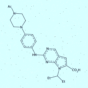 CCC(CC)n1c(C(=O)O)cc2cnc(Nc3ccc(N4CCN(C(C)=O)CC4)cc3)nc21